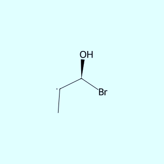 C[CH][C@@H](O)Br